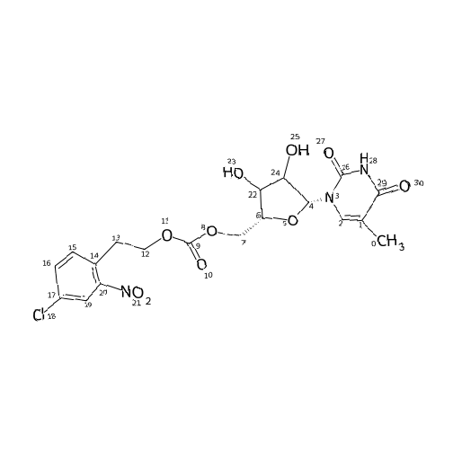 Cc1cn([C@@H]2O[C@H](COC(=O)OCCc3ccc(Cl)cc3[N+](=O)[O-])C(O)C2O)c(=O)[nH]c1=O